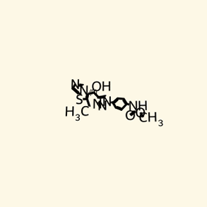 CCc1sc2cncn2c1[C@@H](O)c1cn(-c2ccc(NC(=O)OC)cc2)nn1